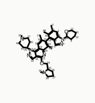 Cc1cc2c(cnn2C2CCCCO2)c(-c2c(C)cc3c(nc(OCC4CCCN4C)c4cnn(C5CCN(C)CC5)c43)c2F)c1C